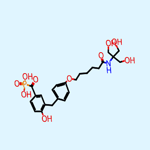 O=C(CCCCCOc1ccc(Cc2cc(C(=O)P(=O)(O)O)ccc2O)cc1)NC(CO)(CO)CO